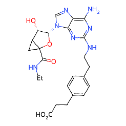 CCNC(=O)C12CC1[C@H](O)[C@H](n1cnc3c(N)nc(NCCc4ccc(CCC(=O)O)cc4)nc31)O2